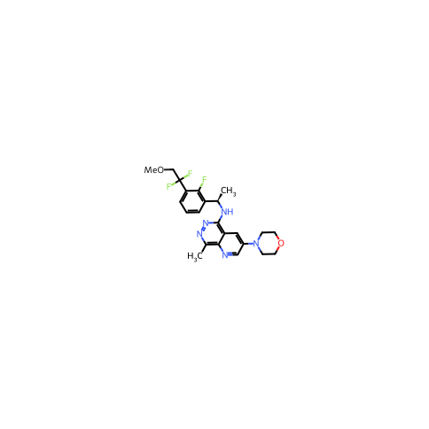 COCC(F)(F)c1cccc([C@@H](C)Nc2nnc(C)c3ncc(N4CCOCC4)cc23)c1F